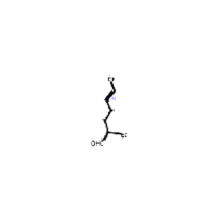 CC/C=C/CCC(C=O)CC